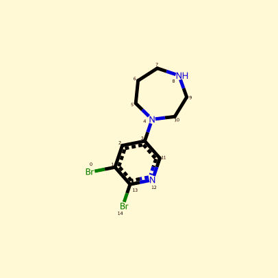 Brc1cc(N2CCCNCC2)cnc1Br